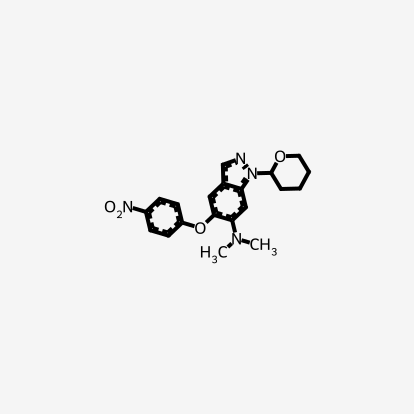 CN(C)c1cc2c(cnn2C2CCCCO2)cc1Oc1ccc([N+](=O)[O-])cc1